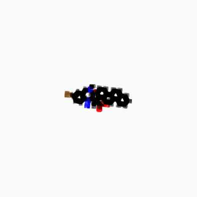 CN1Cc2cc(Br)ccc2NC(C(C)(C(=O)O)C2=c3ccc4c(c3CCC2)CC=c2ccccc2=4)C1=O